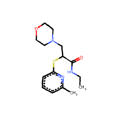 CCNC(=O)C(CN1CCOCC1)Sc1cccc(C)n1